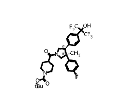 CC(C)(C)OC(=O)N1CCC(C(=O)N2C[C@@H](c3ccc(C(O)(C(F)(F)F)C(F)(F)F)cc3)[C@@](C)(c3ccc(F)cc3)C2)CC1